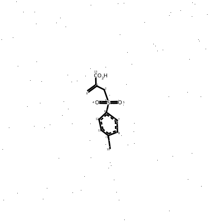 C=C(CS(=O)(=O)c1ccc(C)cc1)C(=O)O